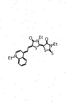 CCN1C(=O)C(=c2sc(=CC=C3C=CN(CC)c4ccccc43)c(=O)n2CC)SC1=S